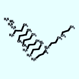 CCCC.CCCC.CCCC.CCCC.CCCC.CCCC.CCCC.CCCC.S.S.S.S